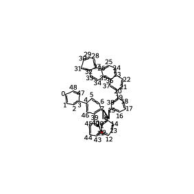 c1ccc(-c2ccc(N(c3ccccc3)c3cccc(-c4ccc5ccc6c7ccccc7ccc6c5c4)c3)c(-c3ccccc3)c2)cc1